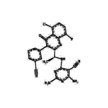 C[C@H](Nc1nc(N)nc(N)c1C#N)c1nc2c(F)ccc(Cl)c2c(=O)n1-c1cccc(C#N)c1